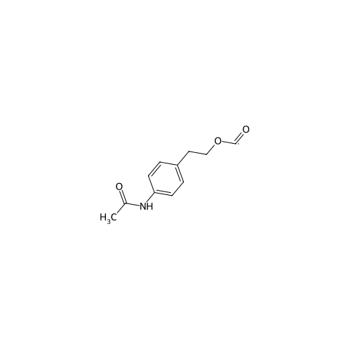 CC(=O)Nc1ccc(CCO[C]=O)cc1